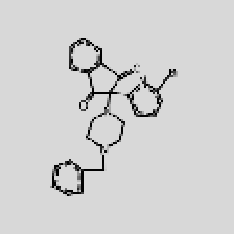 O=C1c2ccccc2C(=O)C1(c1cccc(Br)n1)N1CCN(Cc2ccccc2)CC1